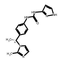 Cc1nccn1[C@H](C)c1ccc(NC(=O)Nc2cc[nH]n2)cc1